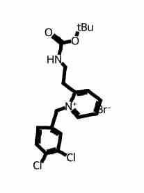 CC(C)(C)OC(=O)NCCc1cccc[n+]1Cc1ccc(Cl)c(Cl)c1.[Br-]